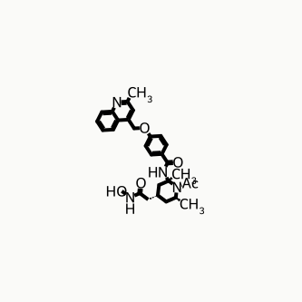 CC(=O)N1[C@@H](C)C[C@H](CC(=O)NO)C[C@]1(C)NC(=O)c1ccc(OCc2cc(C)nc3ccccc23)cc1